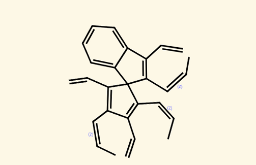 C=CC1=C(/C=C\C)C2(C(C=C)=C1/C=C\C)C(/C=C\C)=C(C=C)c1ccccc12